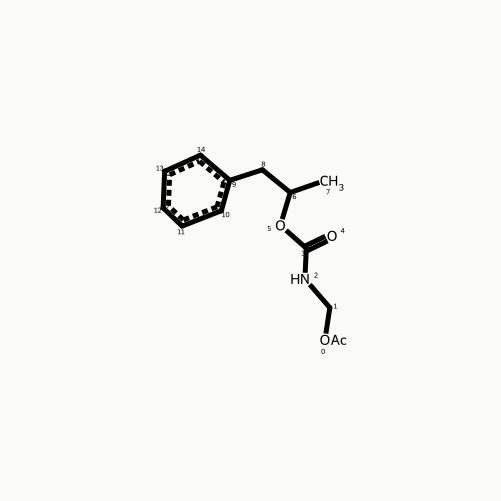 CC(=O)OCNC(=O)OC(C)Cc1ccccc1